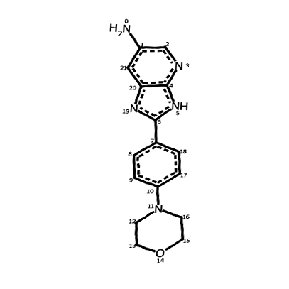 Nc1cnc2[nH]c(-c3ccc(N4CCOCC4)cc3)nc2c1